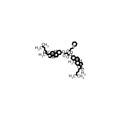 CC(C)CCC[C@@H](C)[C@H]1CC[C@H]2[C@@H]3CC=C4C[C@@H](OC(=O)C(OC(=O)CCN5CCCCC5)C(=O)O[C@H]5CC[C@@]6(C)C(=CC[C@H]7[C@@H]8CC[C@H]([C@H](C)CCCC(C)C)[C@@]8(C)CC[C@@H]76)C5)CC[C@]4(C)[C@H]3CC[C@]12C